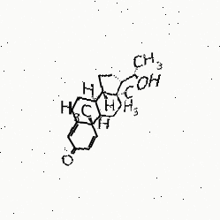 C[C@H](O)[C@H]1CC[C@H]2[C@@H]3CCC4=CC(=O)C=C[C@@]4(C)[C@@H]3CC[C@]12C